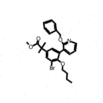 CCCCOc1c(Br)cc(C(C)(C)C(=O)OC)cc1-c1cccnc1OCc1ccccc1